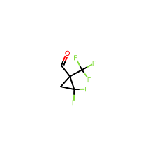 O=CC1(C(F)(F)F)CC1(F)F